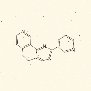 c1cncc(-c2ncc3c(n2)-c2cnccc2CC3)c1